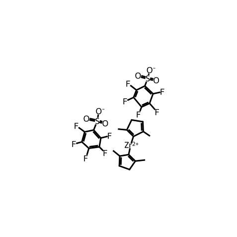 CC1=CCC(C)=[C]1[Zr+2][C]1=C(C)CC=C1C.O=S(=O)([O-])c1c(F)c(F)c(F)c(F)c1F.O=S(=O)([O-])c1c(F)c(F)c(F)c(F)c1F